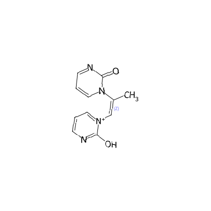 C/C(=C/[n+]1cccnc1O)n1cccnc1=O